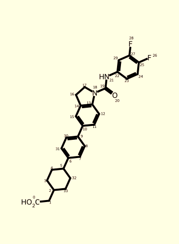 O=C(O)CC1CCC(c2ccc(-c3ccc4c(c3)CCN4C(=O)Nc3ccc(F)c(F)c3)cc2)CC1